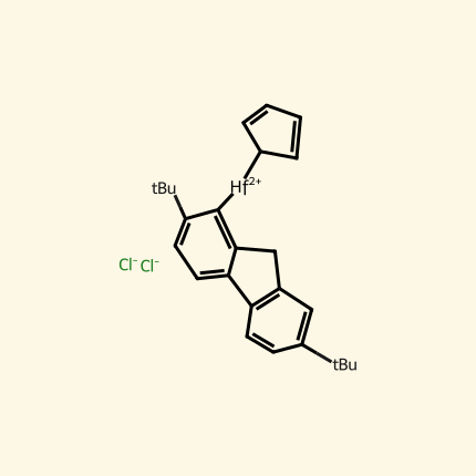 CC(C)(C)c1ccc2c(c1)Cc1c-2ccc(C(C)(C)C)[c]1[Hf+2][CH]1C=CC=C1.[Cl-].[Cl-]